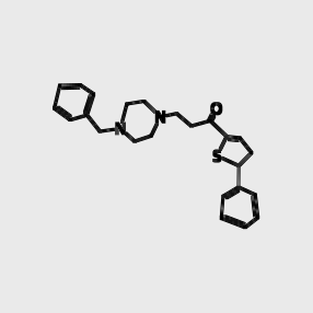 O=C(CCN1CCN(Cc2ccccc2)CC1)C1=CCC(c2ccccc2)S1